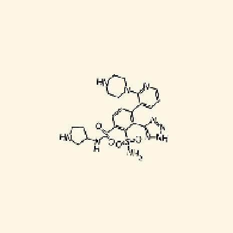 NS(=O)(=O)c1c(S(=O)(=O)NC2CCNC2)ccc(-c2cccnc2N2CCNCC2)c1-c1nn[nH]n1